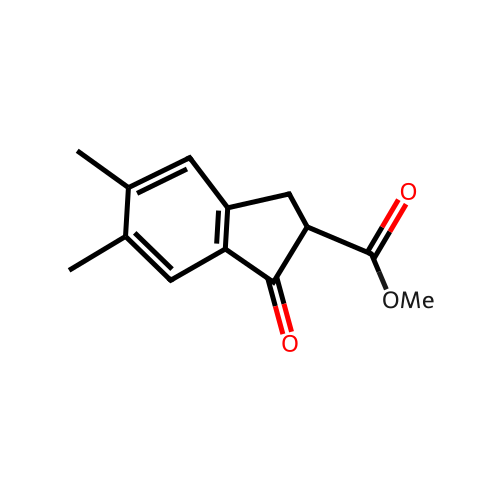 COC(=O)C1Cc2cc(C)c(C)cc2C1=O